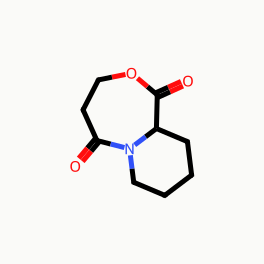 O=C1OCCC(=O)N2CCCCC12